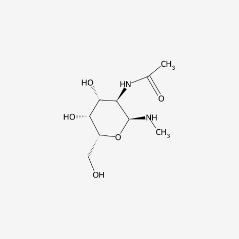 CN[C@H]1O[C@H](CO)[C@H](O)[C@H](O)[C@H]1NC(C)=O